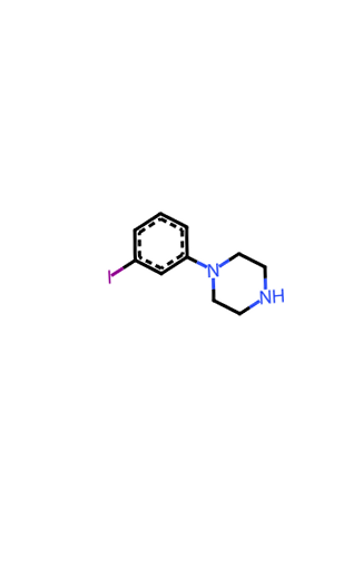 Ic1cccc(N2CCNCC2)c1